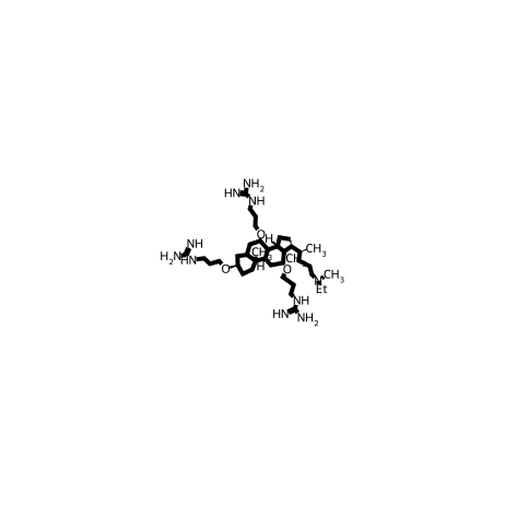 CCN(C)CCC[C@@H](C)[C@H]1CC[C@H]2C3[C@H](OCCCNC(=N)N)CC4C[C@H](OCCCNC(=N)N)CCC4(C)[C@H]3C[C@H](OCCCNC(=N)N)[C@]12C